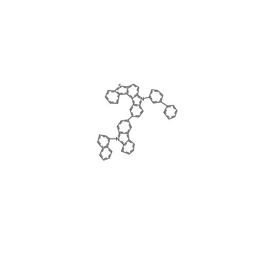 c1ccc(-c2cccc(-n3c4ccc(-c5ccc6c(c5)c5ccccc5n6-c5cccc6ccccc56)cc4c4c5c(ccc43)sc3ccccc35)c2)cc1